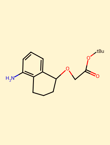 CC(C)(C)OC(=O)COC1CCCc2c(N)cccc21